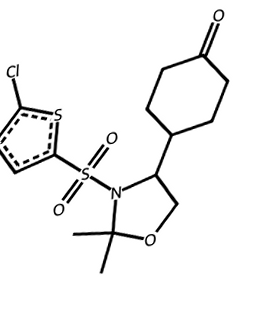 CC1(C)OCC(C2CCC(=O)CC2)N1S(=O)(=O)c1ccc(Cl)s1